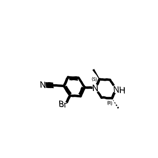 C[C@@H]1CN(c2ccc(C#N)c(Br)c2)[C@@H](C)CN1